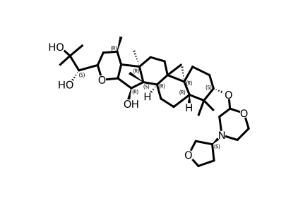 C[C@@H]1CC([C@H](O)C(C)(C)O)OC2C1[C@@]1(C)CCC34C[C@@]35CC[C@H](OC3CN([C@H]6CCOC6)CCO3)C(C)(C)[C@@H]5CC[C@H]4[C@]1(C)[C@H]2O